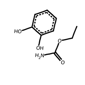 CCOC(N)=O.Oc1ccccc1O